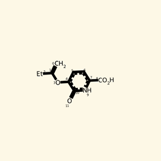 C=C(CC)Oc1ccc(C(=O)O)[nH]c1=O